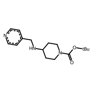 CC(C)(C)OC(=O)N1CCC(NCc2ccncc2)CC1